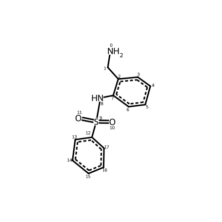 NCc1ccccc1NS(=O)(=O)c1ccccc1